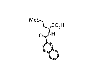 CSCC[C@H](NC(=O)c1ccc2ccccc2n1)C(=O)O